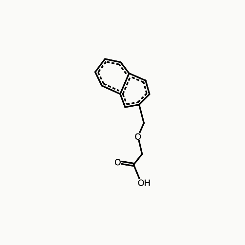 O=C(O)COCc1ccc2ccccc2c1